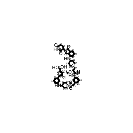 O=C(O)COc1c(C(O)O)sc(-c2cccc(NC3CCN(S(=O)(=O)Cc4cccc(NC(=O)CCN5CCC(Nc6cccc7c6CN(C6CCC(=O)NC6=O)C7=O)CC5)c4)CC3)c2)c1Cl